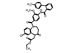 CCOC(=O)CN1C(=O)CCN(C(=O)c2ccc(NC(=O)c3ccccc3-c3ccc(C)cc3)c(OC)c2)c2ccc(Cl)cc21